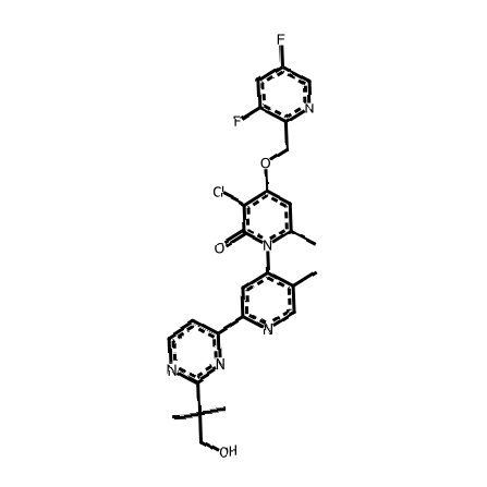 Cc1cnc(-c2ccnc(C(C)(C)CO)n2)cc1-n1c(C)cc(OCc2ncc(F)cc2F)c(Cl)c1=O